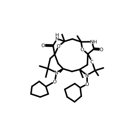 CC12CC3(C)NC(=O)C4(CC(C)(C)N(OC5CCCCC5)C(C)(C4)CC4(C)CC(CC(C)(C)N4OC4CCCCC4)(O1)C(=O)N2)O3